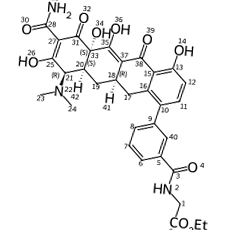 CCOC(=O)CNC(=O)c1cccc(-c2ccc(O)c3c2C[C@H]2C[C@H]4[C@@H](N(C)C)C(O)=C(C(N)=O)C(=O)[C@@]4(O)C(O)=C2C3=O)c1